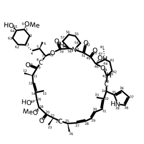 CO[C@@H]1C[C@H](C[C@@H](C)[C@@H]2CC(=O)[C@H](C)/C=C(\C)[C@@H](O)[C@@H](OC)C(=O)[C@H](C)C[C@H](C)/C=C/C=C/C=C(\C)C(c3ccc[nH]3)C[C@@H]3CC[C@@H](C)[C@@](O)(O3)C(=O)C(=O)N3CCCC[C@H]3C(=O)O2)CC[C@H]1O